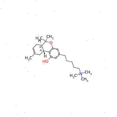 CC1=CC[C@@H]2[C@@H](C1)c1c(O)cc(CCCCC[N+](C)(C)C)cc1OC2(C)C